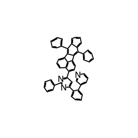 c1ccc(-c2nc(-c3ccccc3-c3cccnc3)cc(-c3ccc4c5c(cccc35)-c3c-4c(-c4ccccc4)c4ccccc4c3-c3ccccc3)n2)cc1